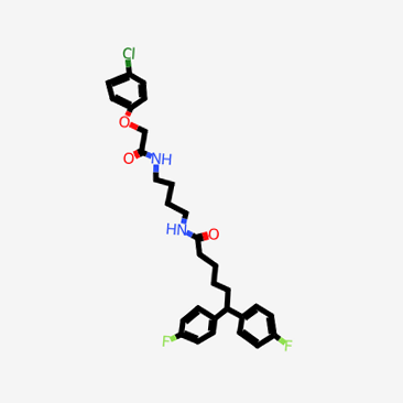 O=C(CCCCC(c1ccc(F)cc1)c1ccc(F)cc1)NCCCCNC(=O)COc1ccc(Cl)cc1